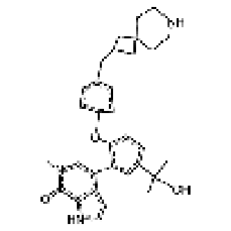 Cn1cc(-c2cc(C(C)(C)O)ccc2Oc2ccc(CC3CC4(CCNCC4)C3)cc2)c2cc[nH]c2c1=O